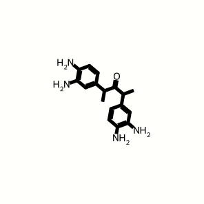 CC(C(=O)C(C)c1ccc(N)c(N)c1)c1ccc(N)c(N)c1